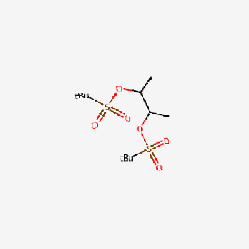 CC(OS(=O)(=O)C(C)(C)C)C(C)OS(=O)(=O)C(C)(C)C